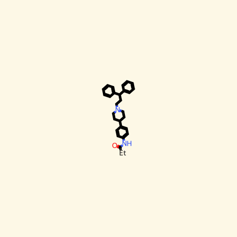 CCC(=O)Nc1ccc(C2CCN(CCC(c3ccccc3)c3ccccc3)CC2)cc1